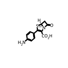 Nc1ccc(C2=C(C(=O)O)N3C(=O)C[C@@H]3S2)cc1